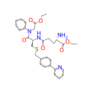 CCOC(=O)CN(C(=O)[C@H](CSCc1ccc(-c2ccccn2)cc1)NC(=O)CC[C@H](N)C(=O)OCC)c1ccccc1